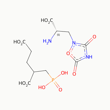 N[C@@H](Cn1oc(=O)[nH]c1=O)C(=O)O.O=C(O)CCC(CP(=O)(O)O)C(=O)O